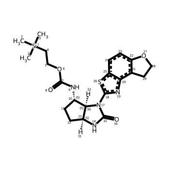 C[Si](C)(C)CCOC(=O)N[C@H]1CC[C@@H]2NC(=O)N(c3nc4c5c(ccc4s3)OCC5)[C@H]12